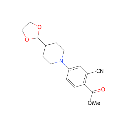 COC(=O)c1ccc(N2CCC(C3OCCO3)CC2)cc1C#N